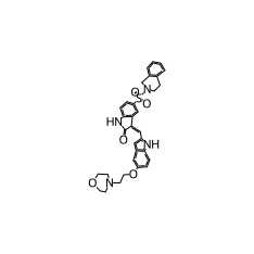 O=C1Nc2ccc(S(=O)(=O)N3CCc4ccccc4C3)cc2C1=Cc1cc2cc(OCCN3CCOCC3)ccc2[nH]1